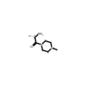 C[C@H](N)C(=O)N1CCN(C)CC1